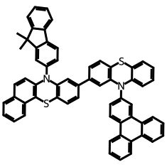 CC1(C)c2ccccc2-c2ccc(N3c4cc(-c5ccc6c(c5)N(c5ccc7c8ccccc8c8ccccc8c7c5)c5ccccc5S6)ccc4Sc4c3ccc3ccccc43)cc21